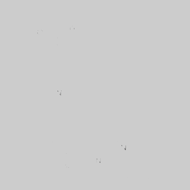 COC(=O)C1CCN(c2ccc(Cl)c(-c3nc4ccccn4c3C)c2)CC1